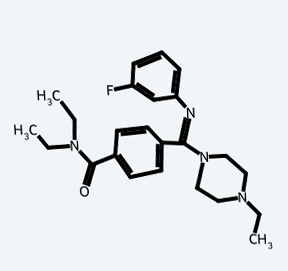 CCN1CCN(/C(=N/c2cccc(F)c2)c2ccc(C(=O)N(CC)CC)cc2)CC1